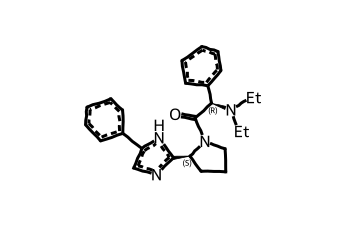 CCN(CC)[C@@H](C(=O)N1CCC[C@H]1c1ncc(-c2ccccc2)[nH]1)c1ccccc1